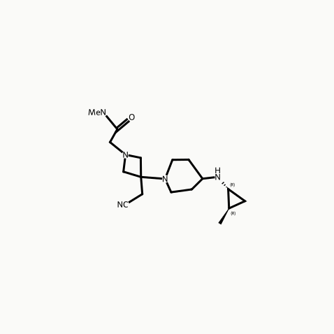 CNC(=O)CN1CC(CC#N)(N2CCC(N[C@@H]3C[C@H]3C)CC2)C1